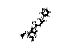 Cc1nc2c(c(OC3CC3)n1)CN(C(=O)CC1CN(c3cccnc3)C1)C2